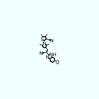 COc1ccc2nc(C(C#N)=Cc3cc(C)n(-c4sc(C)c(C)c4C#N)c3C)[nH]c2c1